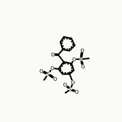 CS(=O)(=O)Oc1cc(OS(C)(=O)=O)c(C(=O)c2ccccc2)c(OS(C)(=O)=O)c1